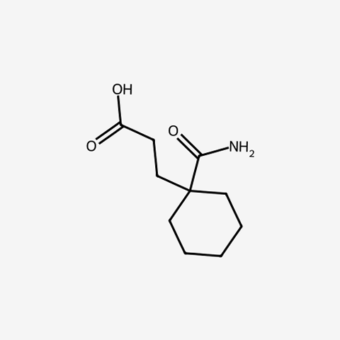 NC(=O)C1(CCC(=O)O)CCCCC1